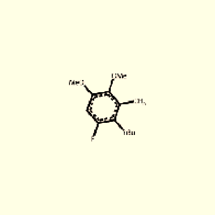 CCCCc1c(F)cc(OC)c(OC)c1C